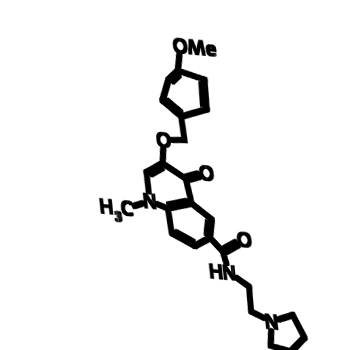 COc1ccc(COc2cn(C)c3ccc(C(=O)NCCN4CCCC4)cc3c2=O)cc1